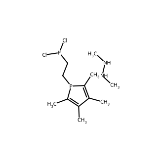 CNNC.Cc1c(C)c(C)p(CCP(Cl)Cl)c1C